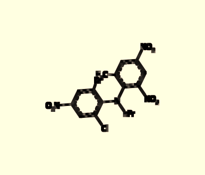 CCCN(c1c(Cl)cc([N+](=O)[O-])cc1Br)c1c([N+](=O)[O-])cc([N+](=O)[O-])cc1C(F)(F)F